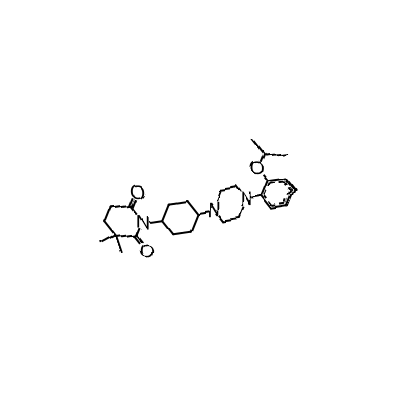 CC(C)Oc1ccccc1N1CCN(C2CCC(N3C(=O)CCC(C)(C)C3=O)CC2)CC1